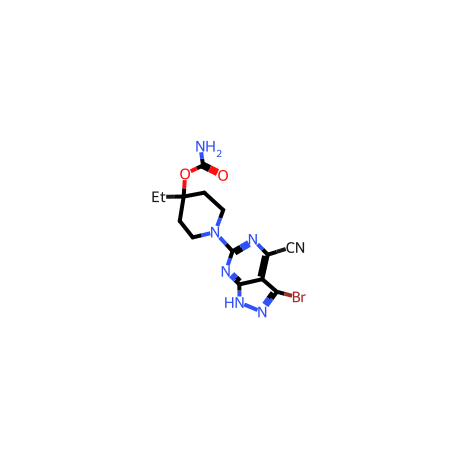 CCC1(OC(N)=O)CCN(c2nc(C#N)c3c(Br)n[nH]c3n2)CC1